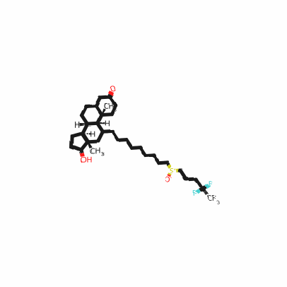 C[C@]12CCC(=O)CC1CC[C@@H]1[C@H]2C(CCCCCCCCC[S+]([O-])CCCC(F)(F)C(F)(F)F)C[C@]2(C)C(O)CC[C@@H]12